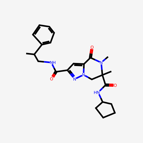 CC(CNC(=O)c1cc2n(n1)CC(C)(C(=O)NC1CCCC1)N(C)C2=O)c1ccccc1